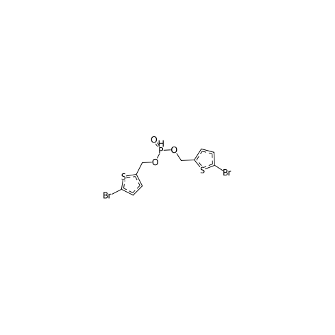 O=[PH](OCc1ccc(Br)s1)OCc1ccc(Br)s1